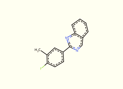 Cc1cc(-c2ncc3ccccc3n2)ccc1F